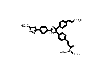 CCCCCCN(CCCCCC)C(=O)C=Cc1ccc(-c2[nH]c(-c3ccc(C4=NOC(C(=O)O)C4)cc3)nc2-c2ccc(C=CC(=O)O)cc2)cc1